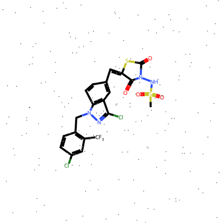 CS(=O)(=O)NN1C(=O)SC(=Cc2ccc3c(c2)c(Cl)nn3Cc2ccc(Cl)cc2C(F)(F)F)C1=O